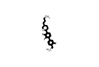 C=Cc1ccc(-c2ccc(C3CCC(CCCC)CO3)c(F)c2F)cc1F